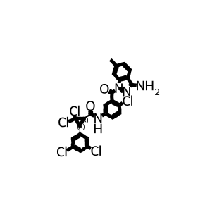 Cc1ccc2c(N)nn(C(=O)c3cc(NC(=O)[C@H]4[C@H](c5cc(Cl)cc(Cl)c5)C4(Cl)Cl)ccc3Cl)c2c1